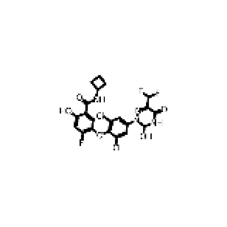 O=C1NC(O)N(c2cc(Cl)c(Oc3cc(C(=O)NC4CCC4)c(O)cc3F)c(Cl)c2)N=C1C(F)F